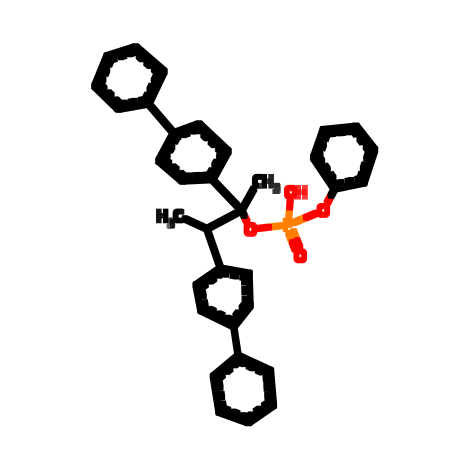 CC(c1ccc(-c2ccccc2)cc1)C(C)(OP(=O)(O)Oc1ccccc1)c1ccc(-c2ccccc2)cc1